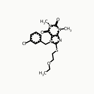 CCOCCSc1nc2c(c(=O)n(C)c(=O)n2C)n1Cc1cccc(Cl)c1